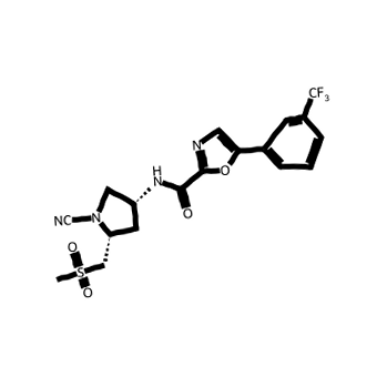 CS(=O)(=O)C[C@H]1C[C@@H](NC(=O)c2ncc(-c3cccc(C(F)(F)F)c3)o2)CN1C#N